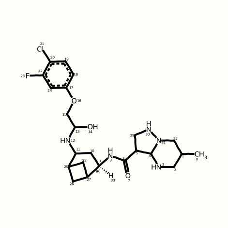 CC1CNC2C(C(=O)N[C@@H]3CC(NC(O)COc4ccc(Cl)c(F)c4)C4CC3C4)CNN2C1